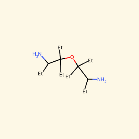 CCC(N)C(CC)(CC)OC(CC)(CC)C(N)CC